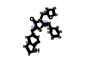 O=C1/C(=C/c2ccc3[nH]ccc3c2)S/C(=N\c2ccccc2)N1Cc1ccco1